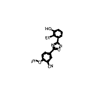 CCc1c(O)cccc1-c1noc(-c2ccc(OC(C)C)c(C#N)c2)n1